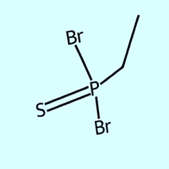 CCP(=S)(Br)Br